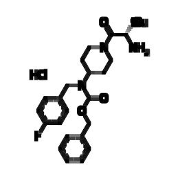 CC(C)(C)[C@H](N)C(=O)N1CCC(N(Cc2ccc(F)cc2)C(=O)OCc2ccccc2)CC1.Cl